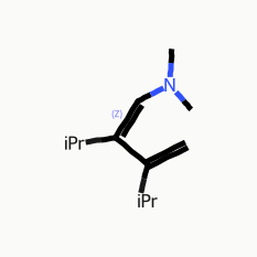 C=C(/C(=C\N(C)C)C(C)C)C(C)C